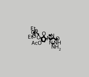 CCOP(=O)(COC1=C(OC(C)=O)C[C@H](n2cnc3c(=O)[nH]c(N)nc32)C1=O)OCC